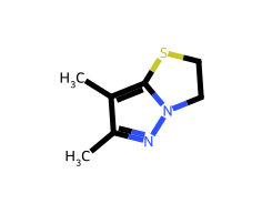 Cc1nn2c(c1C)SCC2